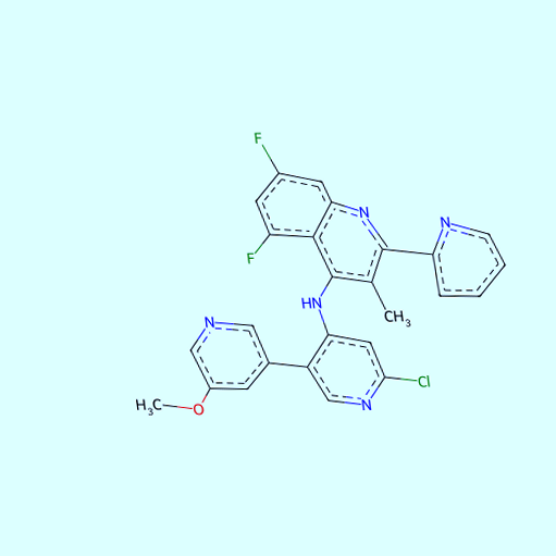 COc1cncc(-c2cnc(Cl)cc2Nc2c(C)c(-c3ccccn3)nc3cc(F)cc(F)c23)c1